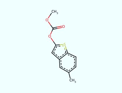 COC(=O)Oc1cc2cc(C)ccc2s1